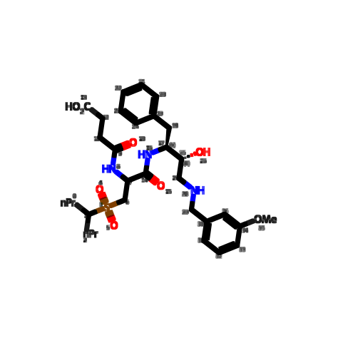 CCCC(CCC)S(=O)(=O)CC(NC(=O)CCC(=O)O)C(=O)N[C@@H](Cc1ccccc1)[C@H](O)CNCc1cccc(OC)c1